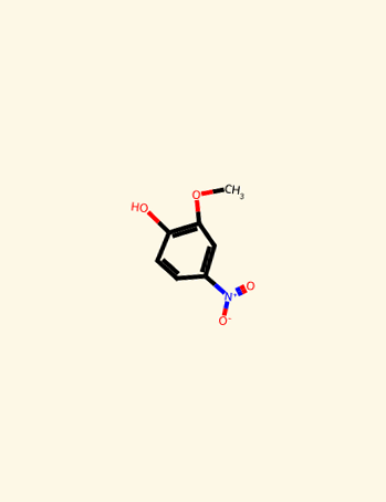 COc1cc([N+](=O)[O-])[c]cc1O